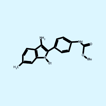 CCn1c(-c2ccc(NC(=O)OC(C)(C)C)cc2)c(N)c2ccc(C)cc21